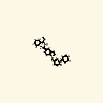 CCC(NC(=O)c1ccc2c(ccn2Cc2cccc(-c3ccccc3)c2)c1)c1ccccc1